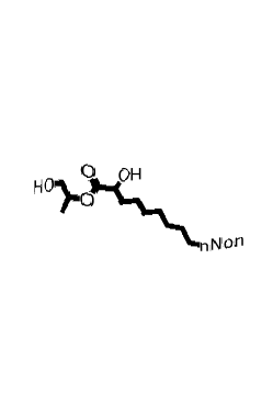 CCCCCCCCCCCCCCCCC(O)C(=O)OC(C)CO